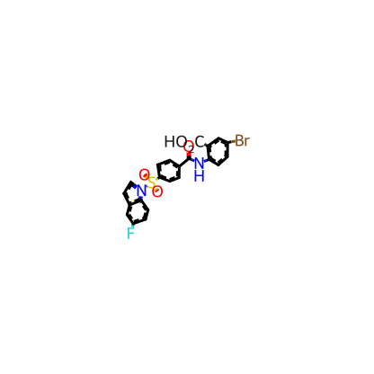 O=C(Nc1ccc(Br)cc1C(=O)O)c1ccc(S(=O)(=O)n2ccc3cc(F)ccc32)cc1